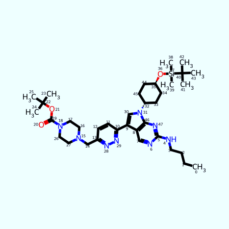 CCCCNc1ncc2c(-c3ccc(CN4CCN(C(=O)OC(C)(C)C)CC4)nn3)cn([C@H]3CC[C@H](O[Si](C)(C)C(C)(C)C)CC3)c2n1